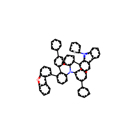 c1ccc(-c2ccc(-c3c(-c4cccc5oc6ccccc6c45)cccc3N(c3cccc(-c4ccccc4)c3)c3ccccc3-c3cccc4c5ccccc5n(-c5ccccc5)c34)cc2)cc1